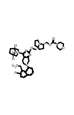 CCc1c(F)ccc2cccc(N3CCc4c(nc(OC[C@]56CCCN5[C@@H](COC(=O)N5CCOCC5)CC6)nc4N4C[C@H]5CC[C@@H](C4)N5)C3)c12